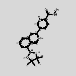 CCNC(=O)c1ccc(-c2cc3cccc(B4OC(C)(C)C(C)(C)O4)c3cn2)cn1